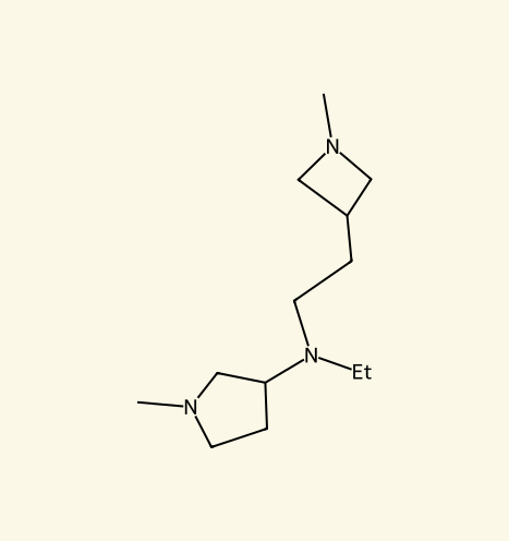 CCN(CCC1CN(C)C1)C1CCN(C)C1